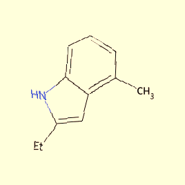 [CH2]Cc1cc2c(C)cccc2[nH]1